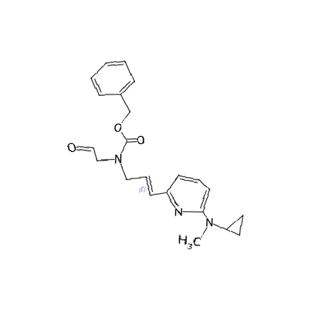 CN(c1cccc(/C=C/CN(CC=O)C(=O)OCc2ccccc2)n1)C1CC1